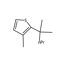 CCCC(C)(C)c1sccc1C